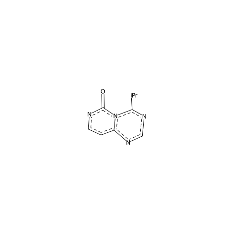 CC(C)c1ncnc2ccnc(=O)n12